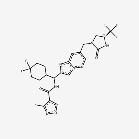 Cc1nocc1C(=O)NC(c1cn2ncc(CN3C[C@@H](C(F)(F)F)NC3=O)cc2n1)C1CCC(F)(F)CC1